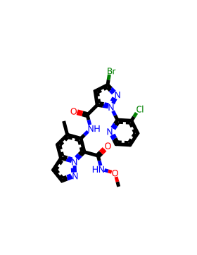 CONC(=O)c1c(NC(=O)c2cc(Br)nn2-c2ncccc2Cl)c(C)cc2ccnn12